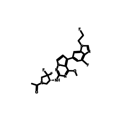 COc1nc(N[C@@H]2CN(C(C)=O)CC2(F)F)nn2ccc(-c3cc(F)c4ncn(CCF)c4c3)c12